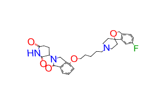 O=C1CCC(N2Cc3c(OCCCCCN4CCC5(CC4)OCc4ccc(F)cc45)cccc3C2=O)C(=O)N1